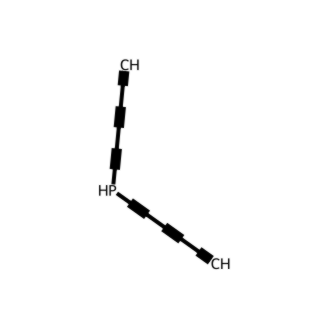 C#CC#CC#CPC#CC#CC#C